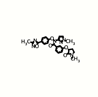 Cc1noc(-c2ccc(ON(C(=O)c3cccc(OC4CCN(C)C4=O)c3)c3ccn(C)n3)cc2)n1